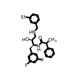 CCc1cccc(CNC[C@H](O)[C@H](Cc2cc(F)cc(F)c2)NC(=O)C(C)c2ccccc2)c1